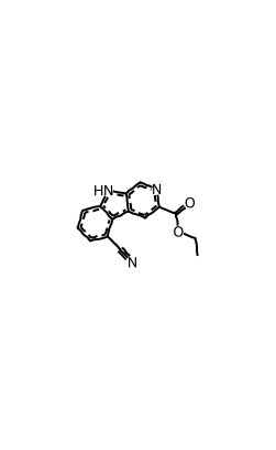 CCOC(=O)c1cc2c(cn1)[nH]c1cccc(C#N)c12